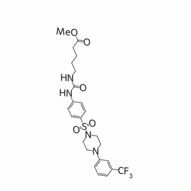 COC(=O)CCCCNC(=O)Nc1ccc(S(=O)(=O)N2CCN(c3cccc(C(F)(F)F)c3)CC2)cc1